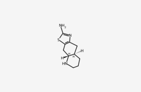 Nc1nc2c(s1)C[C@H]1NCCC[C@@H]1C2